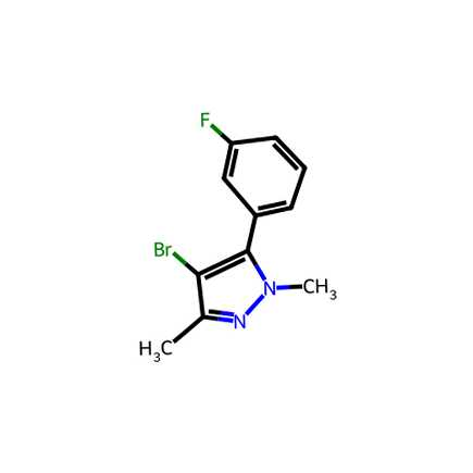 Cc1nn(C)c(-c2cccc(F)c2)c1Br